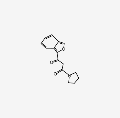 O=C(CC(=O)N1CCCC1)c1occ2ccccc12